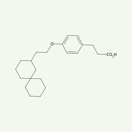 O=C(O)CCc1ccc(OCCC2CCCC3(CCCCC3)C2)cc1